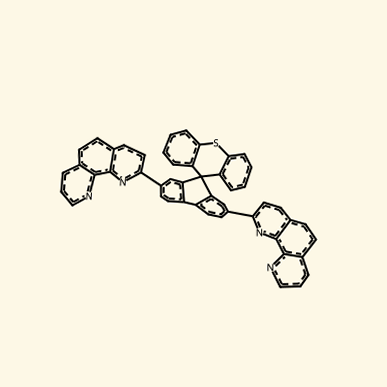 c1ccc2c(c1)Sc1ccccc1C21c2cc(-c3ccc4ccc5cccnc5c4n3)ccc2-c2ccc(-c3ccc4ccc5cccnc5c4n3)cc21